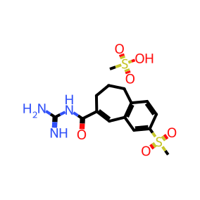 CS(=O)(=O)O.CS(=O)(=O)c1ccc2c(c1)C=C(C(=O)NC(=N)N)CCC2